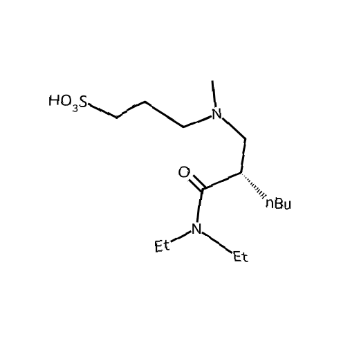 CCCC[C@@H](CN(C)CCCS(=O)(=O)O)C(=O)N(CC)CC